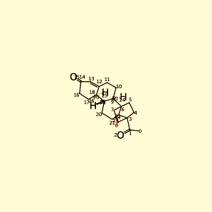 CC(=O)C12CCC3(CC1)[C@@H]1CCC4=CC(=O)CC[C@@H]4[C@H]1CC[C@]23C